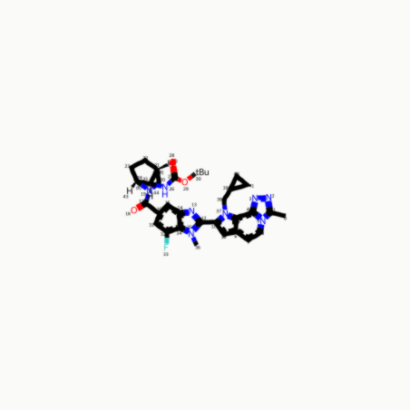 Cc1nnc2c3c(ccn12)cc(-c1nc2cc(C(=O)N4C[C@H]5CC[C@@H]4[C@@H]5NC(=O)OC(C)(C)C)cc(F)c2n1C)n3CC1CC1